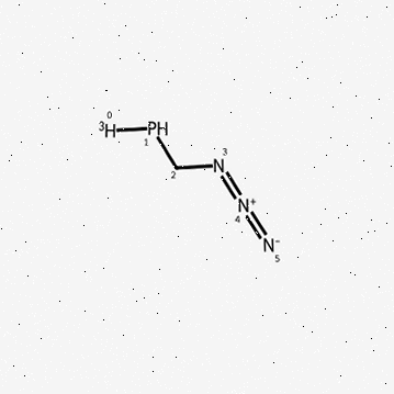 [3H]PCN=[N+]=[N-]